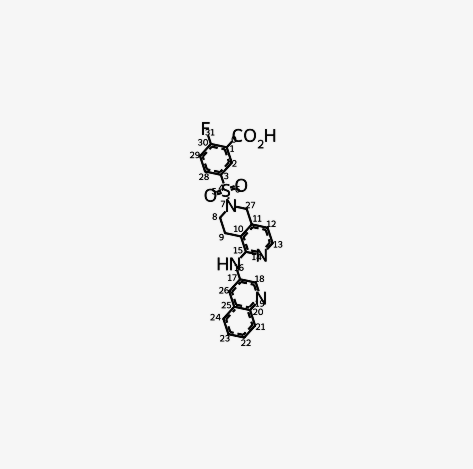 O=C(O)c1cc(S(=O)(=O)N2CCc3c(ccnc3Nc3cnc4ccccc4c3)C2)ccc1F